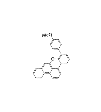 COc1ccc(-c2cccc3c2Oc2cc4ccccc4c4cccc-3c24)cc1